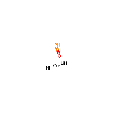 O=P.[Co].[LiH].[Ni]